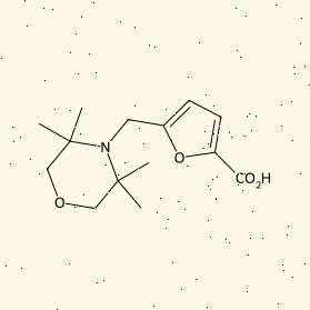 CC1(C)COCC(C)(C)N1Cc1ccc(C(=O)O)o1